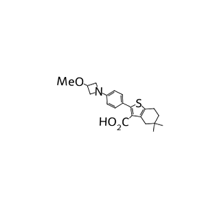 COC1CN(c2ccc(-c3sc4c(c3C(=O)O)CC(C)(C)CC4)cc2)C1